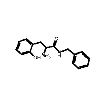 NC(Cc1ccccc1O)C(=O)NCc1ccccc1